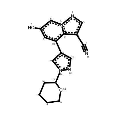 N#Cc1cnn2cc(O)cc(-c3cnn(C4CCCCO4)c3)c12